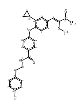 CS/C(=C\c1ccc(Oc2ccc(C(=O)NCCc3ccc(Cl)cc3)cc2)c(C2CC2)c1)[S+](C)[O-]